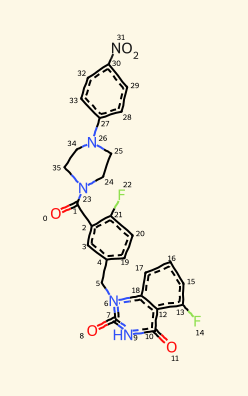 O=C(c1cc(Cn2c(=O)[nH]c(=O)c3c(F)cccc32)ccc1F)N1CCN(c2ccc([N+](=O)[O-])cc2)CC1